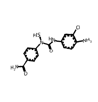 NC(=O)c1ccc(N(S)C(=O)Nc2ccc(N)c(Cl)c2)cc1